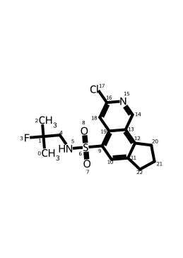 CC(C)(F)CNS(=O)(=O)c1cc2c(c3cnc(Cl)cc13)CCC2